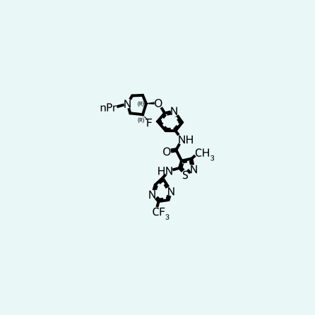 CCCN1CC[C@@H](Oc2ccc(NC(=O)c3c(C)nsc3Nc3cnc(C(F)(F)F)cn3)cn2)[C@H](F)C1